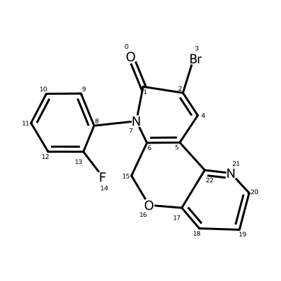 O=c1c(Br)cc2c(n1-c1ccccc1F)COc1cccnc1-2